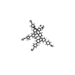 N#Cc1ccc(-c2ccc3c(c2)c2cc(-c4ccc(C#N)cc4)ccc2n3-c2ccc(-c3cc(C#N)cc(C(F)(F)F)c3)c(-n3c4ccc(-c5ccc(C#N)cc5)cc4c4cc(-c5ccc(C#N)cc5)ccc43)c2C#N)cc1